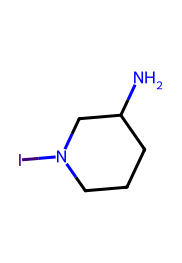 NC1CCCN(I)C1